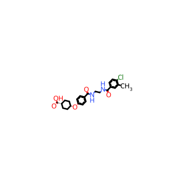 Cc1cc(C(=O)NCCNC(=O)c2ccc(O[C@H]3CC[C@@H](C(=O)O)CC3)cc2)ccc1Cl